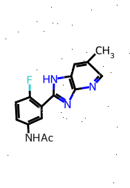 CC(=O)Nc1ccc(F)c(-c2nc3ncc(C)cc3[nH]2)c1